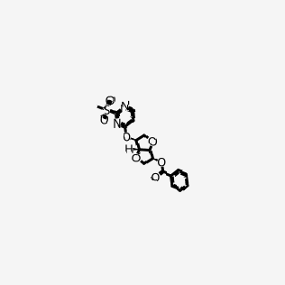 CS(=O)(=O)c1nccc(O[C@H]2COC3[C@@H](OC(=O)c4ccccc4)CO[C@@H]32)n1